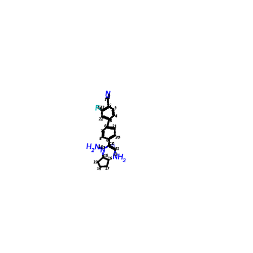 N#Cc1ccc(-c2ccc(/C(=C/N)N(N)C3CCCC3)cc2)cc1F